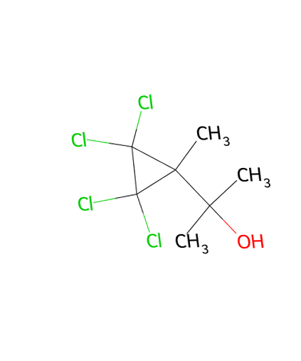 CC(C)(O)C1(C)C(Cl)(Cl)C1(Cl)Cl